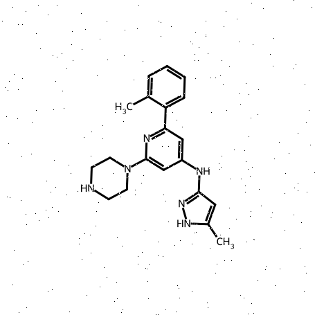 Cc1cc(Nc2cc(-c3ccccc3C)nc(N3CCNCC3)c2)n[nH]1